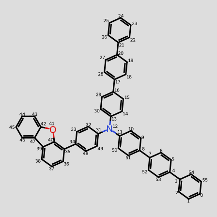 c1ccc(-c2ccc(-c3ccc(N(c4ccc(-c5ccc(-c6ccccc6)cc5)cc4)c4ccc(-c5cccc6c5oc5ccccc56)cc4)cc3)cc2)cc1